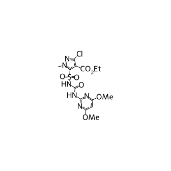 CCOC(=O)c1c(Cl)nn(C)c1S(=O)(=O)NC(=O)Nc1nc(OC)cc(OC)n1